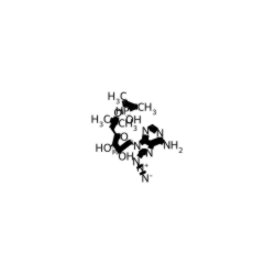 CC1C(C)[PH]1(O)OC(C)(C)C[C@H]1O[C@H](n2c(N=[N+]=[N-])nc3c(N)ncnc32)[C@H](O)[C@@H]1O